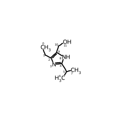 CCc1nc(C(C)C)[nH]c1CO